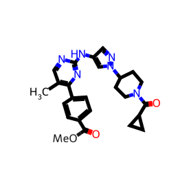 COC(=O)c1ccc(-c2nc(Nc3cnn(C4CCN(C(=O)C5CC5)CC4)c3)ncc2C)cc1